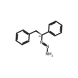 NN=N[C@@H](Cc1ccccc1)c1ccccc1